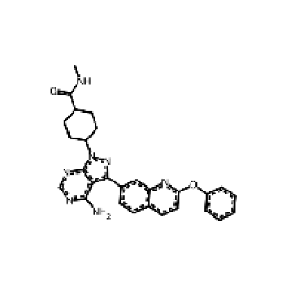 CNC(=O)C1CCC(n2nc(-c3ccc4ccc(Oc5ccccc5)nc4c3)c3c(N)ncnc32)CC1